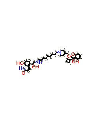 O=C(OCC1CCN(CCCCCCCCCNCC(O)c2ccc(O)c3[nH]c(=O)ccc23)CC1)C(O)(c1ccccc1)C1CCC1